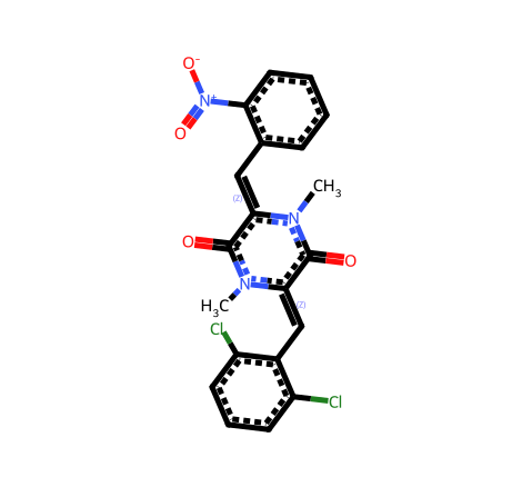 Cn1c(=O)/c(=C/c2c(Cl)cccc2Cl)n(C)c(=O)/c1=C/c1ccccc1[N+](=O)[O-]